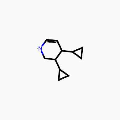 C1=CC(C2CC2)C(C2CC2)C[N]1